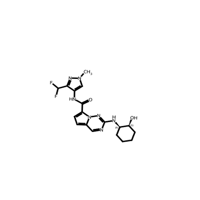 Cn1cc(NC(=O)c2ccc3cnc(N[C@@H]4CCCC[C@@H]4O)nn23)c(C(F)F)n1